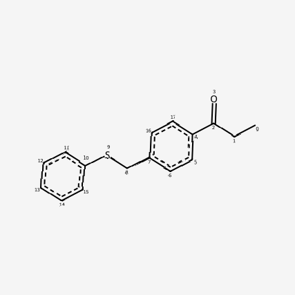 CCC(=O)c1ccc(CSc2ccccc2)cc1